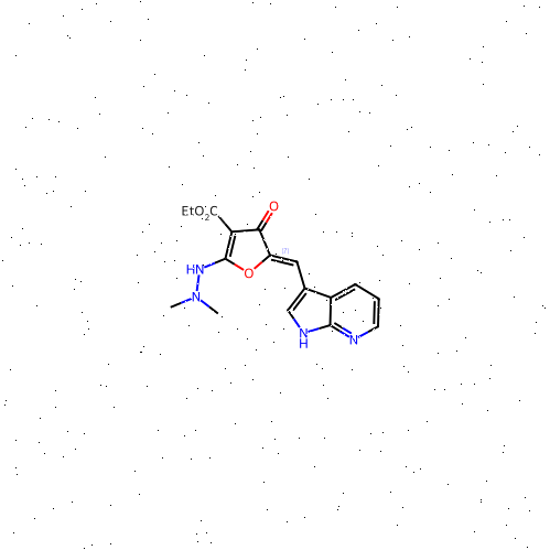 CCOC(=O)C1=C(NN(C)C)O/C(=C\c2c[nH]c3ncccc23)C1=O